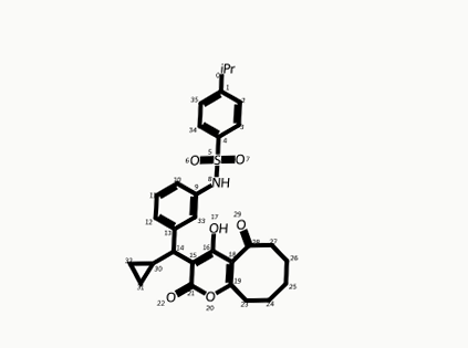 CC(C)c1ccc(S(=O)(=O)Nc2cccc(C(c3c(O)c4c(oc3=O)CCCCCC4=O)C3CC3)c2)cc1